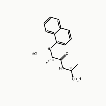 C[C@H](NC(=O)[C@H](C)Nc1cccc2ccccc12)C(=O)O.Cl